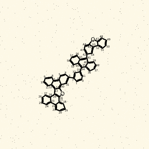 c1cc(-c2ccc3c4ccccc4c4c(oc5c6ccccc6c6ccccc6c54)c3c2)cc(-c2c3ccccc3c(-c3ccc4oc5ccccc5c4c3)c3ccccc23)c1